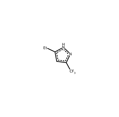 [CH2]Cc1cc(C(F)(F)F)n[nH]1